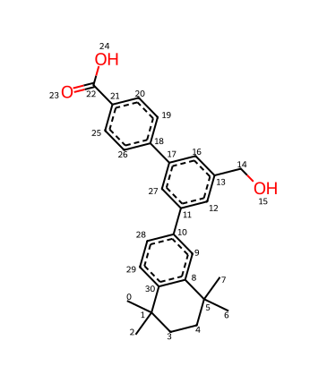 CC1(C)CCC(C)(C)c2cc(-c3cc(CO)cc(-c4ccc(C(=O)O)cc4)c3)ccc21